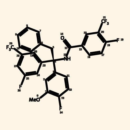 COc1cc([C@@](Cc2ccccc2)(NC(=O)c2ccc(F)c(C(F)(F)F)c2)c2cc(F)cc(C(F)(F)F)c2)ccc1F